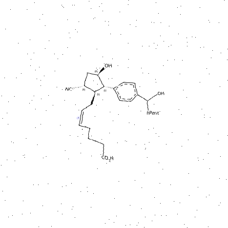 CCCCCC(O)c1ccc([C@@H]2[C@@H](C/C=C\CCCC(=O)O)[C@H](C#N)C[C@H]2O)cc1